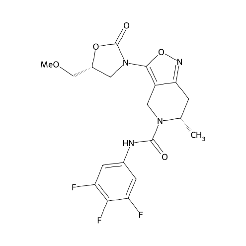 COC[C@H]1CN(c2onc3c2CN(C(=O)Nc2cc(F)c(F)c(F)c2)[C@@H](C)C3)C(=O)O1